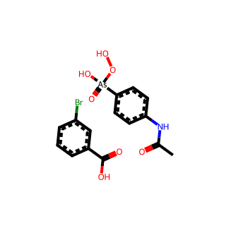 CC(=O)Nc1ccc([As](=O)(O)OO)cc1.O=C(O)c1cccc(Br)c1